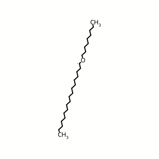 CCCCCCCCCCCCCCCCC[CH]OCCCCCCCCC